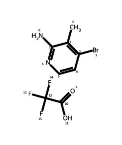 Cc1c(Br)ccnc1N.O=C(O)C(F)(F)F